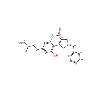 CCCCCC(C)CCc1cc(O)c2c3c(c(=O)oc2c1)CN(Cc1ccccc1)C3